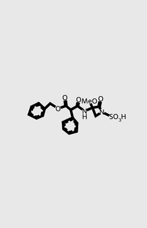 COC1(NC(=O)C(C(=O)OCc2ccccc2)c2ccccc2)CN(S(=O)(=O)O)C1=O